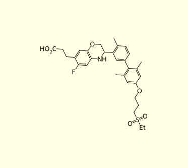 CCS(=O)(=O)CCCOc1cc(C)c(-c2ccc(C)c(C3COc4cc(CCC(=O)O)c(F)cc4N3)c2)c(C)c1